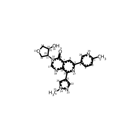 Cc1ccc(-c2cc3c(=O)n([C@H]4COC[C@H]4O)cnc3c(-c3cnn(C)c3)n2)cn1